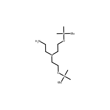 CC(C)(C)[Si](C)(C)OCCN(CCN)CCO[Si](C)(C)C(C)(C)C